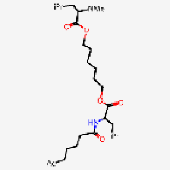 CNC(CC(C)C)C(=O)OCCCCCCOC(=O)C(CC(C)C)NC(=O)CCCCC(C)=O